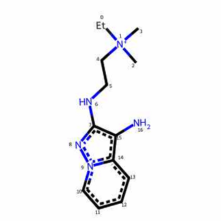 CC[N+](C)(C)CCNc1nn2ccccc2c1N